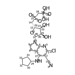 N#Cc1c(Cl)nc2c(ccn2[C@@H]2O[C@H](CS(=O)(=O)CP(=O)(O)O)[C@@H](O)[C@H]2O)c1NC1CCCC1